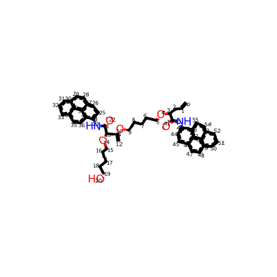 C=CCC(OCCCCCOC(=C)C(OCCCCCO)C(=O)Nc1ccc2ccc3cccc4ccc1c2c34)C(=O)Nc1ccc2ccc3cccc4ccc1c2c34